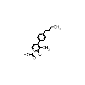 CCCCc1ccc(-c2ccn(C(=O)O)c(=O)c2C)cc1